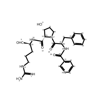 Cl.N=C(N)NCCC[C@@H](C=O)NC(=O)[C@@H]1CCCN1C(=O)[C@@H](Cc1ccccc1)NC(=O)c1cccnc1